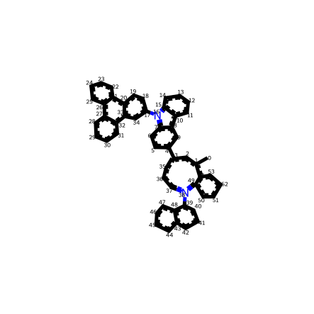 Cc1cc(-c2ccc3c(c2)c2ccccc2n3-c2ccc3c4ccccc4c4ccccc4c3c2)cccn(-c2cccc3ccccc23)c2ccccc12